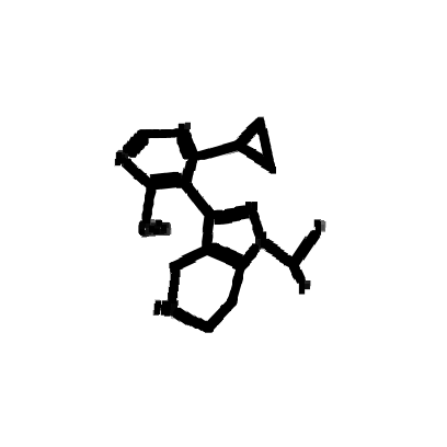 COc1ncnc(C2CC2)c1-c1nn(C(F)F)c2c1CNCC2